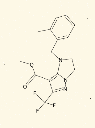 COC(=O)c1c(C(F)(F)F)nn2c1N(Cc1ccccc1C)CC2